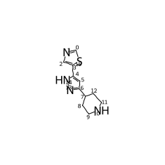 c1ncc(-c2cc(C3CCNCC3)n[nH]2)s1